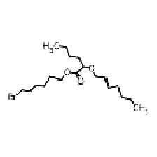 CCCC/C=C/COC(CCCC)C(=O)OCCCCCCBr